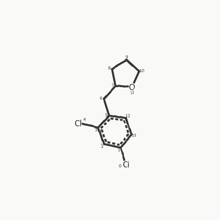 Clc1[c]c(Cl)c(CC2CCCO2)cc1